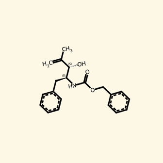 C=C(C)[C@H](O)[C@H](Cc1ccccc1)NC(=O)OCc1ccccc1